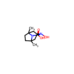 CC12CCC(C)(CC(=NO)C1)N2C(=O)O